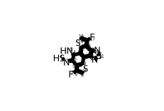 N=C1/C(=N\S)c2c(F)csc2-c2c1c1scc(F)c1c1nsnc21